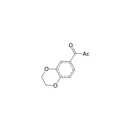 CC(=O)C(=O)c1ccc2c(c1)OCCO2